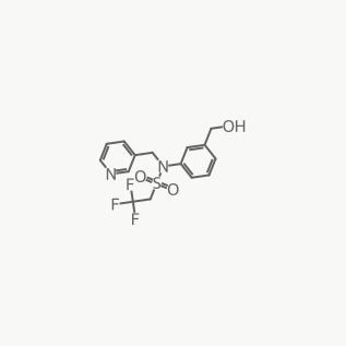 O=S(=O)(CC(F)(F)F)N(Cc1cccnc1)c1cccc(CO)c1